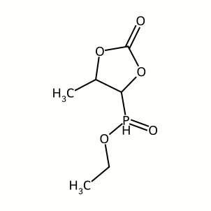 CCO[PH](=O)C1OC(=O)OC1C